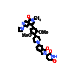 COc1cc(-c2cn(C)c(=O)c3cnc(N4CCC4)cc23)cc(OC)c1C1CCN(c2ccc3c(c2)C(=O)N(C2CCC(=O)NC2=O)C3)CC1